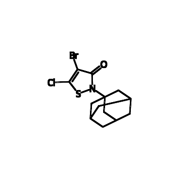 O=c1c(Br)c(Cl)sn1C12CC3CC(CC(C3)C1)C2